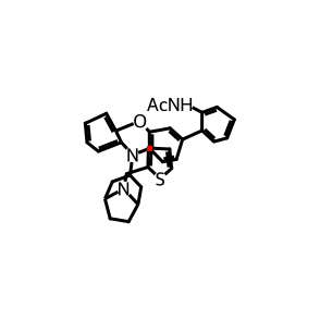 CC(=O)Nc1ccccc1-c1ccc2c(c1)Oc1ccccc1N2C1CC2CCC(C1)N2Cc1cccs1